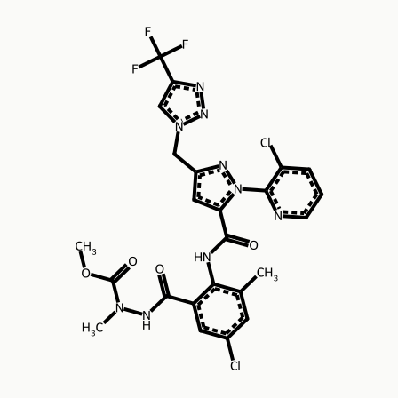 COC(=O)N(C)NC(=O)c1cc(Cl)cc(C)c1NC(=O)c1cc(Cn2cc(C(F)(F)F)nn2)nn1-c1ncccc1Cl